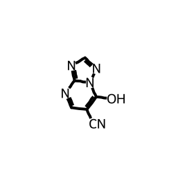 N#Cc1cnc2ncnn2c1O